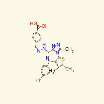 Cc1sc2c(c1C)C(c1ccc(Cl)cc1)=N[C@@H](N/N=C\c1ccc(B(O)O)cc1)c1nnc(C)n1-2